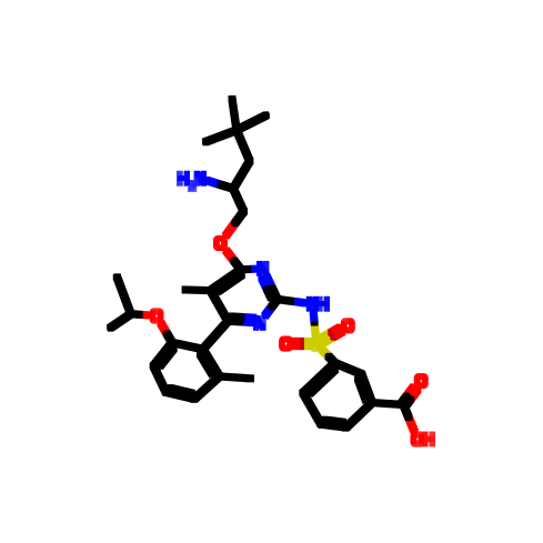 Cc1cccc(OC(C)C)c1-c1nc(NS(=O)(=O)c2cccc(C(=O)O)c2)nc(OCC(N)CC(C)(C)C)c1C